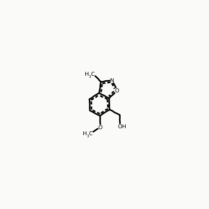 COc1ccc2c(C)noc2c1CO